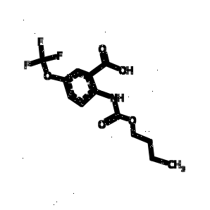 CCCCOC(=O)Nc1ccc(OC(F)(F)F)cc1C(=O)O